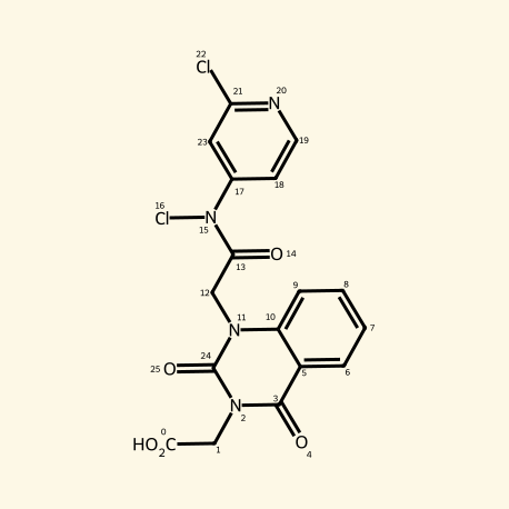 O=C(O)Cn1c(=O)c2ccccc2n(CC(=O)N(Cl)c2ccnc(Cl)c2)c1=O